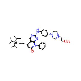 CC(C)[Si](C#Cc1cc(=O)n(-c2ccccc2)c2nc(Nc3ccc(N4CCN(CCO)CC4)cc3)ncc12)(C(C)C)C(C)C